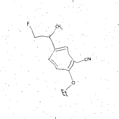 CCOc1ccc([C](C)CF)cc1C#N